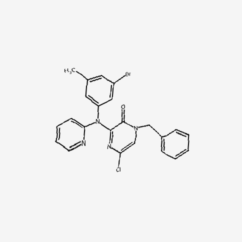 Cc1cc(Br)cc(N(c2ccccn2)c2nc(Cl)cn(Cc3ccccc3)c2=O)c1